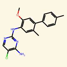 COc1cc(-c2ccc(C)cc2)c(C)cc1Nc1ncc(Cl)c(N)n1